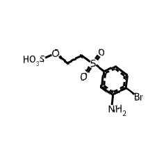 Nc1cc(S(=O)(=O)CCOS(=O)(=O)O)ccc1Br